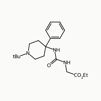 CCOC(=O)CNC(=O)NC1(c2ccccc2)CCN(C(C)(C)C)CC1